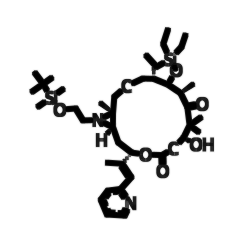 CC[Si](CC)(CC)OC1[C@@H](C)CCC[C@]2(C)[C@H](C[C@@H](/C(C)=C/c3ccccn3)OC(=O)C[C@H](O)C(C)(C)C(=O)[C@@H]1C)N2CCO[Si](C)(C)C(C)(C)C